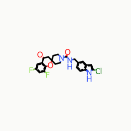 O=C1CC2(CCN(C(=O)NCc3ccc4[nH]c(Cl)cc4c3)CC2)Oc2c(F)cc(F)cc21